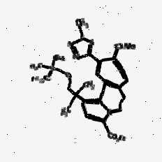 CCOC(=O)c1cc(C(C)(C)CO[Si](C)(C)C(C)(C)C)c2n1CCc1cc(OC)c(-c3nnn(C)n3)cc1-2